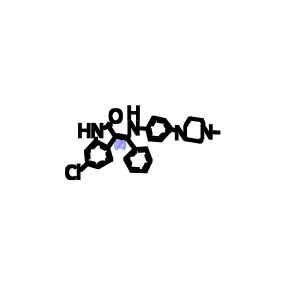 CN1CCN(c2ccc(N/C(=C3\C(=O)Nc4cc(Cl)ccc43)c3ccccc3)cc2)CC1